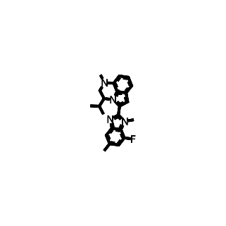 Cc1cc(F)c2c(c1)nc(-c1cc3cccc4c3n1C(C(C)C)CN4C)n2C